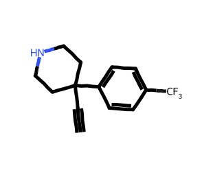 C#CC1(c2ccc(C(F)(F)F)cc2)CCNCC1